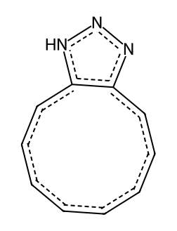 c1ccccc2[nH]nnc2ccc1